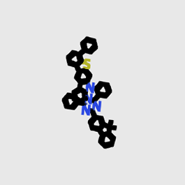 CC1(C)c2ccccc2-c2ccc(-c3nc(-c4ccccc4)nc(-c4ccccc4-n4c5ccccc5c5cc6c(cc54)sc4c(-c5ccccc5)cccc46)n3)cc21